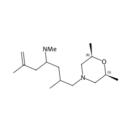 C=C(C)CC(CC(C)CN1C[C@@H](C)O[C@@H](C)C1)NC